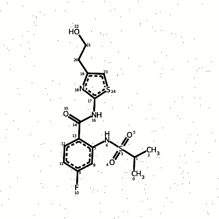 CC(C)S(=O)(=O)Nc1cc(F)ccc1C(=O)Nc1nc(CCO)cs1